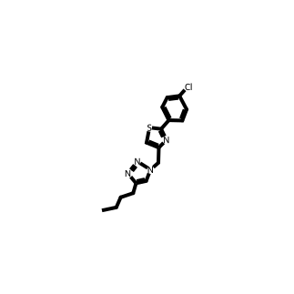 CCCCc1cn(Cc2csc(-c3ccc(Cl)cc3)n2)nn1